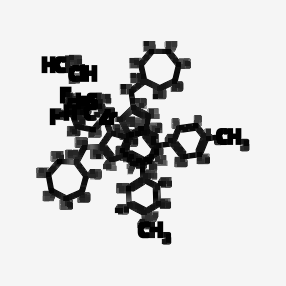 Cc1ccc(-c2cccc3c2C=C(CC2CCCCCC2)[CH]3[Zr]([CH3])(=[SiH2])([CH2]CC(F)(F)F)[CH]2C(CC3CCCCCC3)=Cc3c(-c4ccc(C)cc4)cccc32)cc1.Cl.Cl